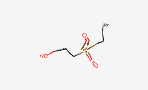 CC(C)CS(=O)(=O)CCO